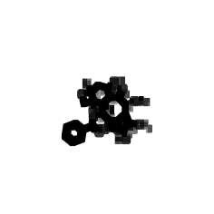 CC(=O)O[C@H]1C(=O)[C@]2(C)[C@H](O)C[C@H]3OC[C@@]3(OC(C)=O)[C@H]2[C@H](OC(=O)c2ccccc2)[C@]2(O)C[C@H](O)C(C)=C1C2(C)C